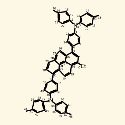 CCc1cc(-c2ccc(N(c3ccc(C)cc3)c3ccc(C)cc3)cc2)c2ccc3ccc(-c4ccc(N(c5ccc(C)cc5)c5ccc(C)cc5)cc4)c4ccc1c2c34